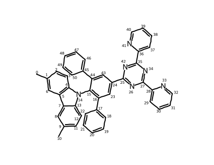 Cc1ccc2c(c1)c1cc(C)ccc1n2-c1c(-c2ccccc2)cc(-c2nc(-c3ccccn3)nc(-c3ccccn3)n2)cc1-c1ccccc1